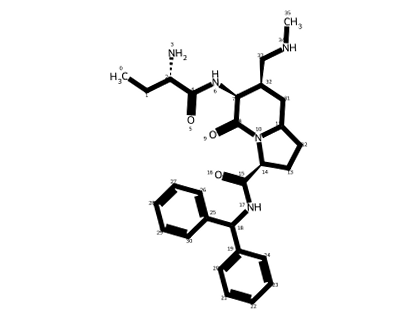 CC[C@H](N)C(=O)N[C@@H]1C(=O)N2C(CC[C@H]2C(=O)NC(c2ccccc2)c2ccccc2)C[C@@H]1CNC